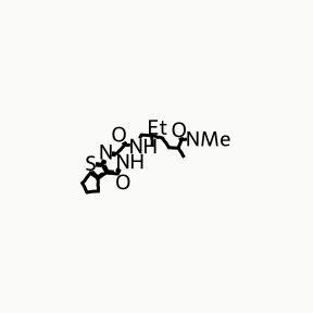 CCC(C)(CCC(C)C(=O)NC)CNC(=O)c1nc2sc3c(c2c(=O)[nH]1)CCC3